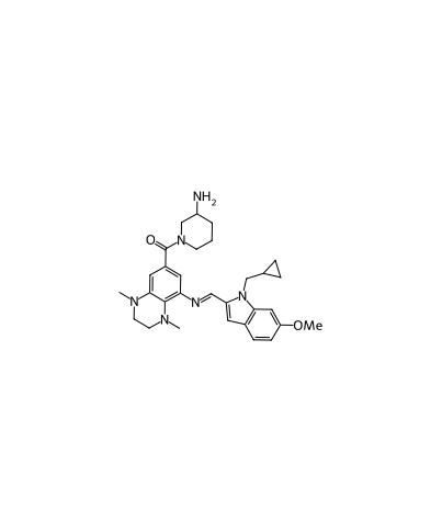 COc1ccc2cc(/C=N/c3cc(C(=O)N4CCCC(N)C4)cc4c3N(C)CCN4C)n(CC3CC3)c2c1